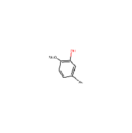 [CH2]C(=O)c1ccc(OC)c(O)c1